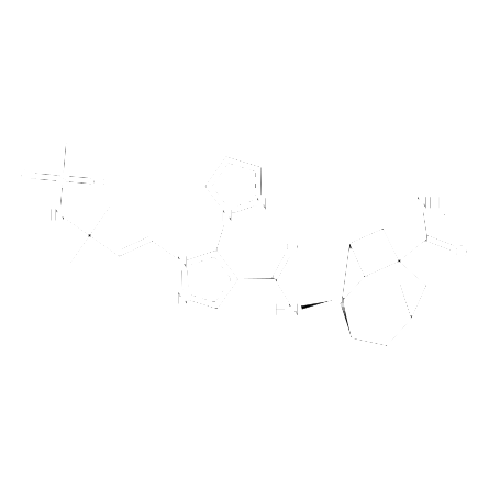 CC(C)(/C=C/n1ncc(C(=O)N[C@@H]2C3CC4CC5(C(N)=O)CC2[C@]5(C4)C3)c1-n1cccn1)NS(C)(=O)=O